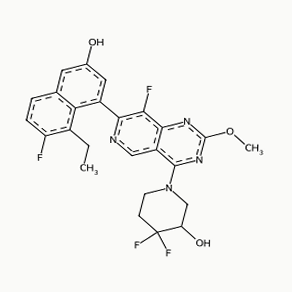 CCc1c(F)ccc2cc(O)cc(-c3ncc4c(N5CCC(F)(F)C(O)C5)nc(OC)nc4c3F)c12